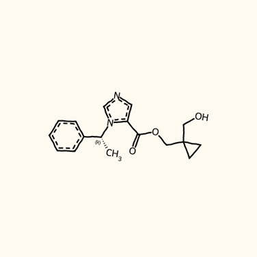 C[C@H](c1ccccc1)n1cncc1C(=O)OCC1(CO)CC1